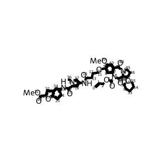 C=CCOC(=O)N1c2cc(OCCCC(=O)Nc3cc(C(=O)Nc4ccc5oc(C(=O)OC)cc5c4)n(C)c3)c(OC)cc2C(=O)N2CCC[C@H]2C1OC1CCCCO1